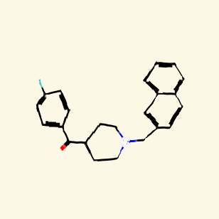 O=C(c1ccc(F)cc1)C1CCN(Cc2ccc3ccccc3c2)CC1